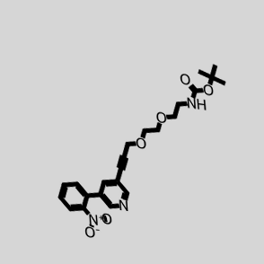 CC(C)(C)OC(=O)NCCOCCOCC#Cc1cncc(-c2ccccc2[N+](=O)[O-])c1